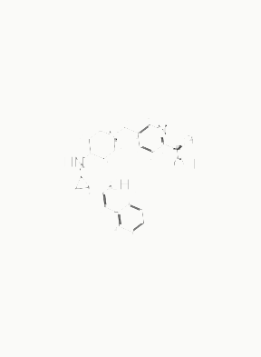 C/C(=C\c1ccccc1)[C@@H]1C[C@H]1NC1CCN(Cc2ccc(C(=O)O)nc2)CC1